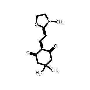 CN1CCO/C1=C\C=C1C(=O)CC(C)(C)CC1=O